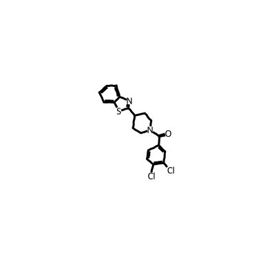 O=C(c1ccc(Cl)c(Cl)c1)N1CCC(c2nc3ccccc3s2)CC1